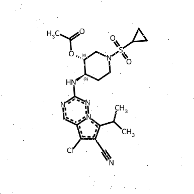 CC(=O)O[C@@H]1CN(S(=O)(=O)C2CC2)CC[C@H]1Nc1ncc2c(Cl)c(C#N)c(C(C)C)n2n1